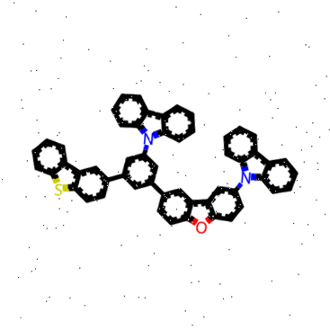 c1ccc2c(c1)sc1ccc(-c3cc(-c4ccc5oc6ccc(-n7c8ccccc8c8ccccc87)cc6c5c4)cc(-n4c5ccccc5c5ccccc54)c3)cc12